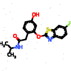 CC(C)NC(=O)Cc1ccc(O)cc1Oc1nc2ccc(F)cc2s1